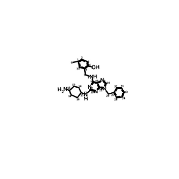 Cc1ccc(O)c(CNc2nc(NC3CCC(N)CC3)nc3c2ncn3Cc2ccccc2)c1